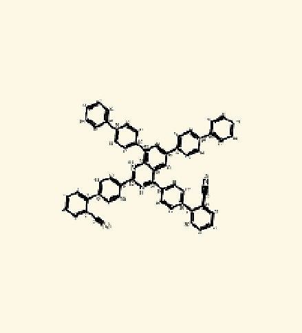 N#Cc1ccccc1-c1ccc(-c2nc(-c3ccc(-c4ccccc4C#N)cc3)c3cc(-c4ccc(-c5ccccc5)cc4)cc(-c4ccc(-c5ccccc5)cc4)c3n2)cc1